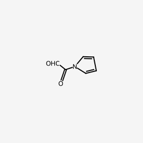 O=CC(=O)n1cccc1